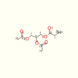 [2H]CC(=O)OCC(COC(C)=O)OC(C)=O